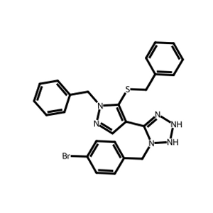 Brc1ccc(CN2NNN=C2c2cnn(Cc3ccccc3)c2SCc2ccccc2)cc1